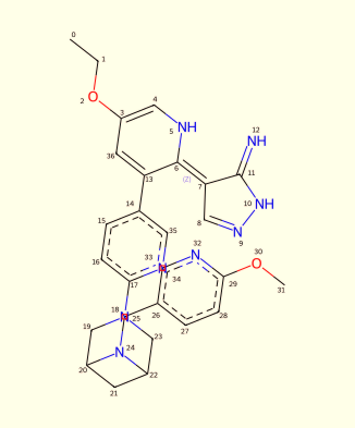 CCOC1=CN/C(=C2/C=NNC2=N)C(c2ccc(N3CC4CC(C3)N4Cc3ccc(OC)nc3)nc2)=C1